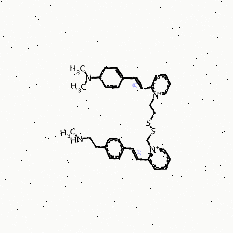 CNCCc1ccc(/C=C/c2cccc[n+]2CSSCC[n+]2ccccc2/C=C/C2=CCC(N(C)C)C=C2)cc1